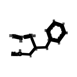 COCC(Cc1ccccc1)N=[N+]=[N-]